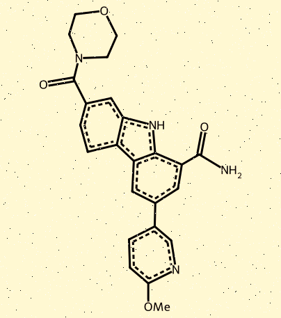 COc1ccc(-c2cc(C(N)=O)c3[nH]c4cc(C(=O)N5CCOCC5)ccc4c3c2)cn1